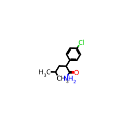 CC(C)CC(C(N)=O)c1ccc(Cl)cc1